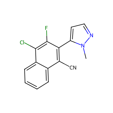 Cn1nccc1-c1c(F)c(Cl)c2ccccc2c1C#N